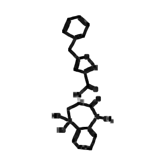 CN1C(=O)[C@@H](NC(=O)c2cc(Cc3ccccc3)on2)CS(O)(O)c2ccccc21